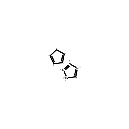 C1=CCC=C1.c1nnn[nH]1